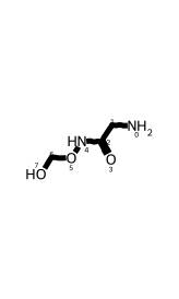 NCC(=O)NOCO